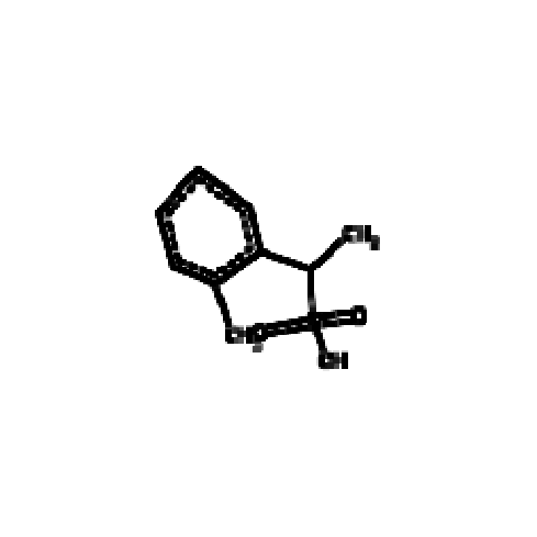 Cc1ccccc1C(C)S(=O)(=O)O